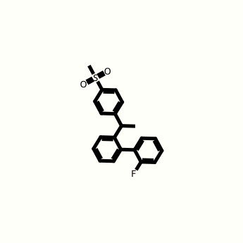 CC(c1ccc(S(C)(=O)=O)cc1)c1ccccc1-c1ccccc1F